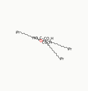 CC(C)CCCCCCCCCCCCCOC(CC(=O)O)(C(=O)O)C(CCCCCCCCCCCCCC(C)C)(CCCCCCCCCCCCCC(C)C)C(=O)O